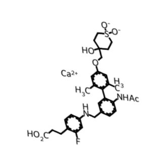 CC(=O)Nc1ccc(CNc2ccc(CCC(=O)O)c(F)c2)cc1-c1c(C)cc(OCC2(O)CCS([O-])([O-])CC2)cc1C.[Ca+2]